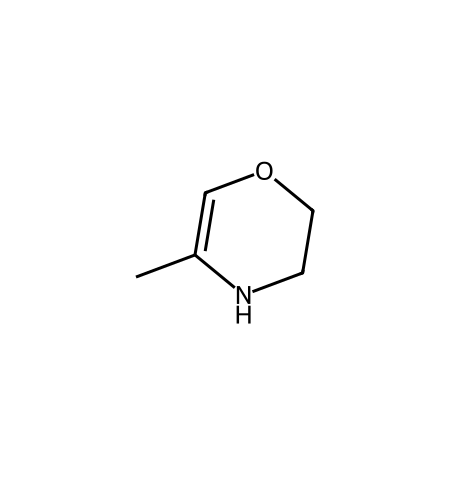 CC1=COCCN1